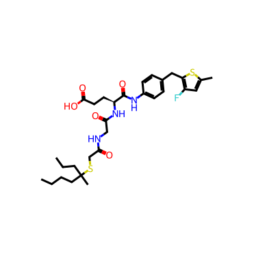 CCCCC(C)(CCC)SCC(=O)NCC(=O)N[C@@H](CCC(=O)O)C(=O)Nc1ccc(Cc2sc(C)cc2F)cc1